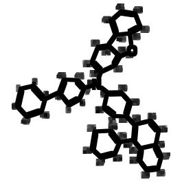 c1ccc(-c2ccc(N(c3ccc(-c4ccc5ccccc5c4-c4ccccc4)cc3)c3ccc4c(c3)oc3ccccc34)cc2)cc1